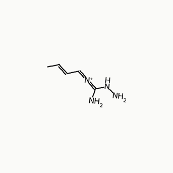 CC=CC=[N+]=C(N)NN